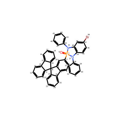 O=P1(c2ccc3c(c2)C2(c4ccccc4-c4ccccc42)c2ccccc2-3)N(c2ccccc2)c2ccc(Br)cc2N1c1ccccc1